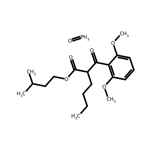 CCCCC(C(=O)OCCC(C)C)C(=O)c1c(OC)cccc1OC.O=[PH3]